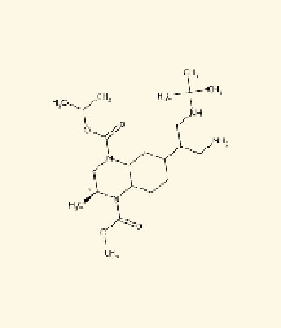 COC(=O)N1C2CCC(C(CN)CNC(C)(C)C)CC2N(C(=O)OC(C)C)C[C@@H]1C